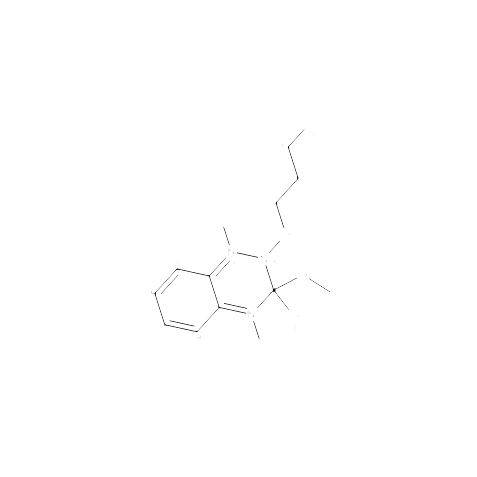 COC1(O)N(OCCCO)[N+]([O-])=c2ccccc2=[N+]1[O-]